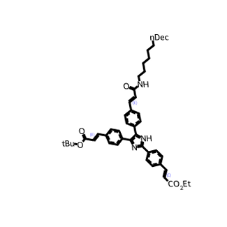 CCCCCCCCCCCCCCCCNC(=O)/C=C/c1ccc(-c2[nH]c(-c3ccc(/C=C/C(=O)OCC)cc3)nc2-c2ccc(/C=C/C(=O)OC(C)(C)C)cc2)cc1